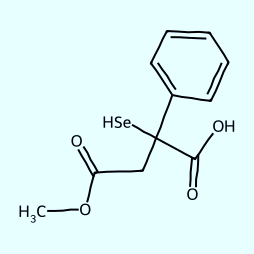 COC(=O)CC([SeH])(C(=O)O)c1ccccc1